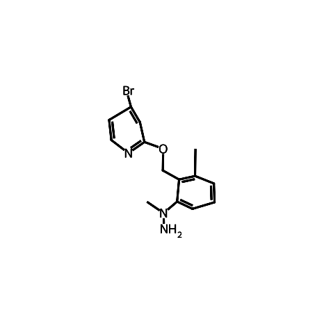 Cc1cccc(N(C)N)c1COc1cc(Br)ccn1